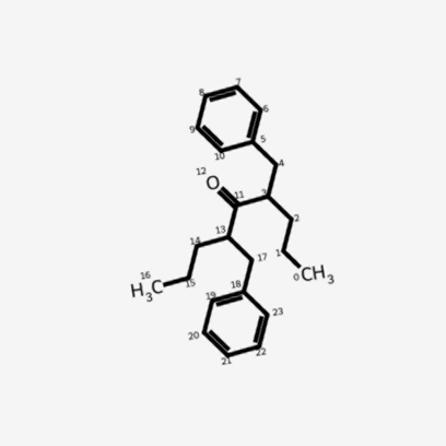 CCCC(Cc1ccccc1)C(=O)C(CCC)Cc1ccccc1